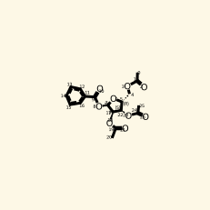 CC(=O)OC[C@H]1O[C@H](OC(=O)c2ccccc2)[C@H](OC(C)=O)[C@H]1OC(C)=O